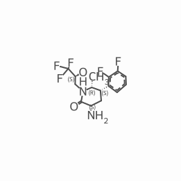 C[C@@H]1[C@H](c2cccc(F)c2F)C[C@H](N)C(=O)N1C[C@H](O)C(F)(F)F